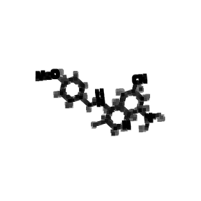 COc1ccc(CNc2c(C)cnc3c(N(C)C)cc(C#N)cc23)cc1